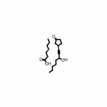 CCCCCC(O)C#CC1CCC(=O)C1.CCCCCCC(=O)O